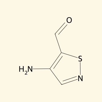 Nc1cnsc1C=O